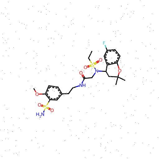 CCS(=O)(=O)N(CC(=O)NCCc1ccc(OC)c(S(N)(=O)=O)c1)C1CC(C)(C)Oc2ccc(F)cc21